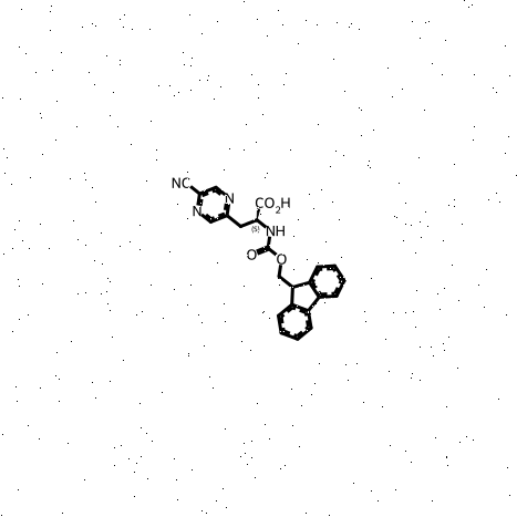 N#Cc1cnc(C[C@H](NC(=O)OCC2c3ccccc3-c3ccccc32)C(=O)O)cn1